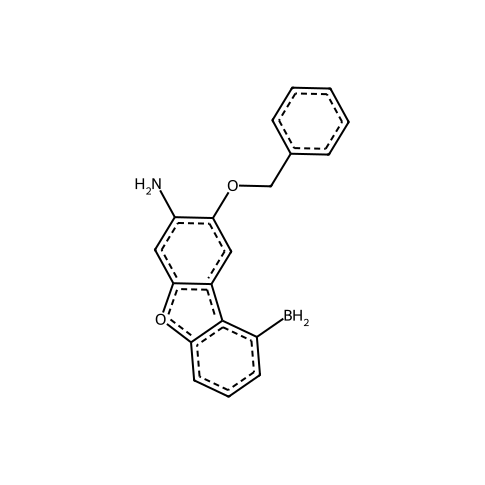 Bc1cccc2oc3cc(N)c(OCc4ccccc4)cc3c12